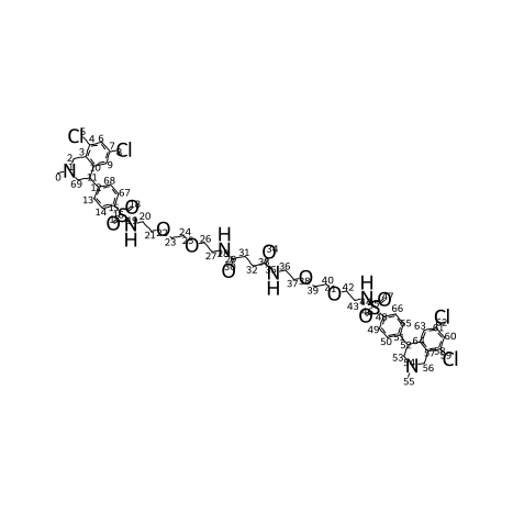 CN1Cc2c(Cl)cc(Cl)cc2C(c2ccc(S(=O)(=O)NCCOCCOCCNC(=O)CCC(=O)NCCOCCOCCNS(=O)(=O)c3ccc(C4CN(C)Cc5c(Cl)cc(Cl)cc54)cc3)cc2)C1